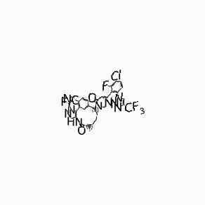 C[C@@H]1CCC[C@H](n2cnc(-c3c(-n4cc(C(F)(F)F)nn4)ccc(Cl)c3F)cc2=O)c2ccc(C#N)c(c2)-c2c(cnn2C(F)F)NC1=O